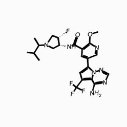 COc1ncc(-c2cc(C(F)(F)F)c3c(N)ncnn23)cc1C(=O)N[C@@H]1CN(C(C)C(C)C)C[C@@H]1F